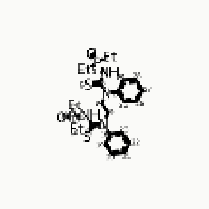 CCP(=O)(CC)NC(=S)N(CCN(C(=S)NP(=O)(CC)CC)c1ccccc1)c1ccccc1